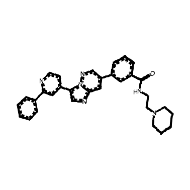 O=C(NCCN1CCCCC1)c1cccc(-c2cnn3c(-c4ccnc(-c5ccccc5)c4)cnc3c2)c1